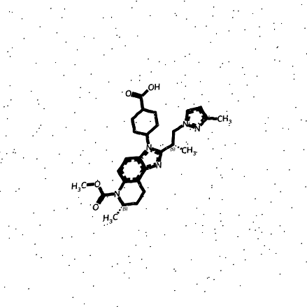 COC(=O)N1c2ccc3c(nc([C@@H](C)Cn4ccc(C)n4)n3C3CCC(C(=O)O)CC3)c2CC[C@@H]1C